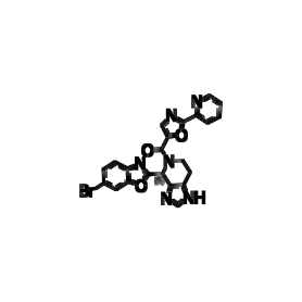 O=C(c1cnc(-c2ccccn2)o1)N1CCc2[nH]cnc2[C@H]1c1nc2ccc(Br)cc2o1